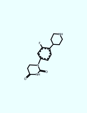 O=C1CCN(c2ccc(C3CCNCC3)c(F)c2)C(=O)N1